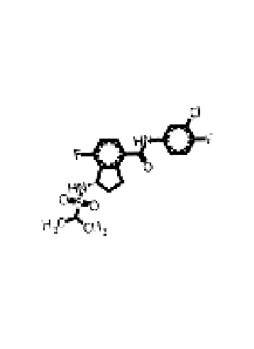 CC(C)S(=O)(=O)N[C@H]1CCc2c(C(=O)Nc3ccc(F)c(Cl)c3)ccc(F)c21